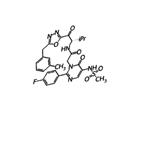 Cc1cccc(Cc2nnc(C(=O)[C@@H](NC(=O)Cn3c(-c4ccc(F)cc4)ncc(NS(C)(=O)=O)c3=O)C(C)C)o2)c1